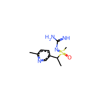 Cc1ccc(C(C)S(C)(=O)=NC(=N)N)cn1